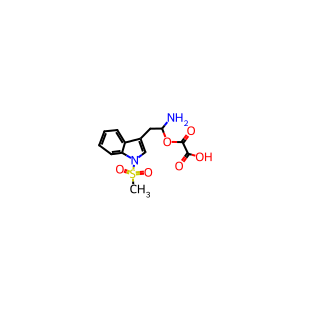 CS(=O)(=O)n1cc(CC(N)OC(=O)C(=O)O)c2ccccc21